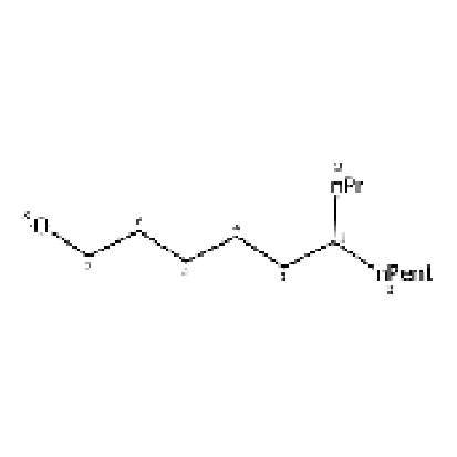 CCCCCC(CCC)CCCCC[O]